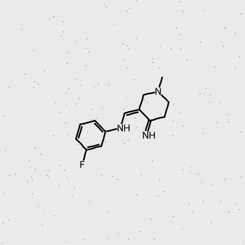 CN1CCC(=N)/C(=C\Nc2cccc(F)c2)C1